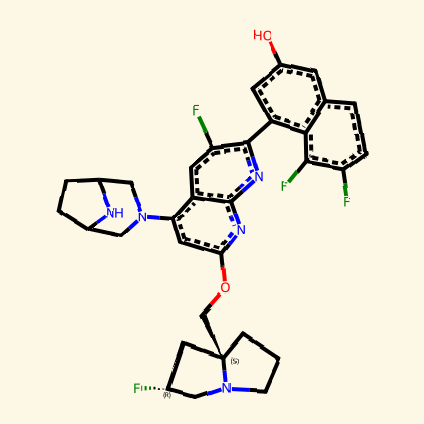 Oc1cc(-c2nc3nc(OC[C@@]45CCCN4C[C@H](F)C5)cc(N4CC5CCC(C4)N5)c3cc2F)c2c(F)c(F)ccc2c1